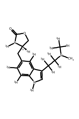 [2H]c1c(C[C@@]2([2H])COC(=O)N2[2H])c([2H])c2c(C([2H])([2H])C([2H])([2H])N(C)C([2H])([2H])[2H])cn([2H])c2c1[2H]